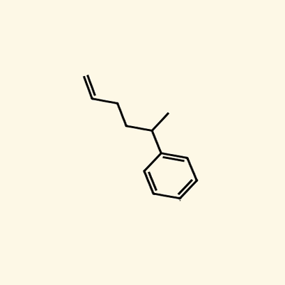 C=CCCC(C)c1cc[c]cc1